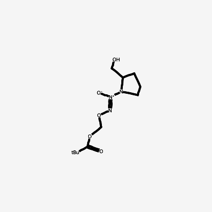 CC(C)(C)C(=O)OCO/N=[N+](\[O-])N1CCCC1CO